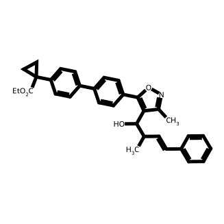 CCOC(=O)C1(c2ccc(-c3ccc(-c4onc(C)c4C(O)C(C)/C=C/c4ccccc4)cc3)cc2)CC1